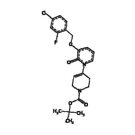 CC(C)(C)OC(=O)N1CC=C(n2cccc(OCc3ccc(Cl)cc3F)c2=O)CC1